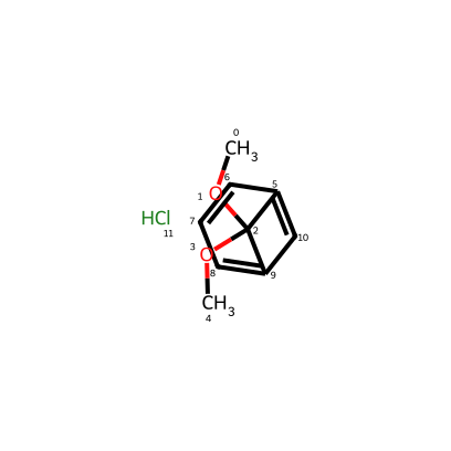 COC1(OC)c2cccc1c2.Cl